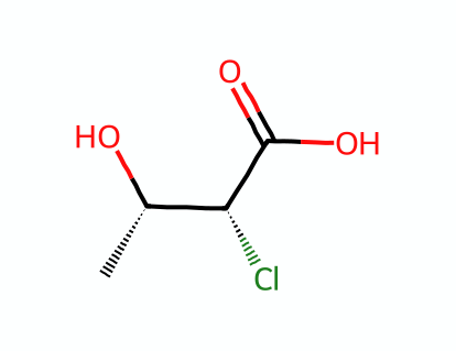 C[C@H](O)[C@@H](Cl)C(=O)O